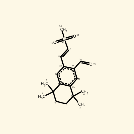 CC1(C)CCC(C)(C)c2cc(C=CS(C)(=O)=O)c(C=O)cc21